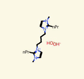 CCCc1n(C)cc[n+]1CCCC[n+]1ccn(C)c1CCC.[OH-].[OH-]